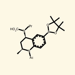 CC(=O)N1c2ccc(B3OC(C)(C)C(C)(C)O3)cc2[C@H](N(C(=O)O)C(C)C)C[C@@H]1C